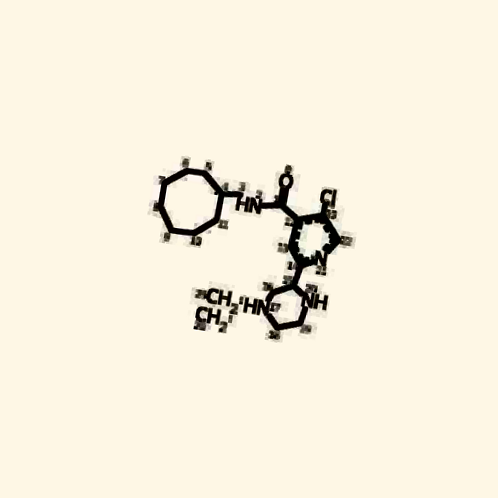 O=C(NC[C]1CCCCCCC1)c1cc(C2CNCCN2)ncc1Cl.[CH2].[CH2]